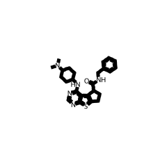 CN(C)C1CCC(Nc2ncnc3sc4c(c23)C(C(=O)NCc2ccccc2)CC4)CC1